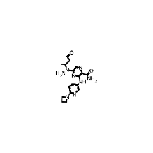 CC(CC=O)N(N)c1cnc(C(N)=O)c(Nc2ccc(N3CCC3)nc2)n1